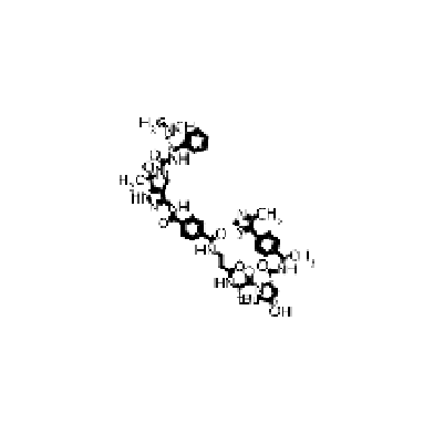 Cc1ncsc1-c1ccc([C@H](C)NC(=O)[C@@H]2C[C@@H](O)CN2C(=O)[C@@H](NC(=O)CCNC(=O)c2ccc(C(=O)Nc3n[nH]c4c3CN(C(=O)N[C@H](CN(C)C)c3ccccc3)C4(C)C)cc2)C(C)(C)C)cc1